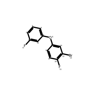 Fc1cccc(Oc2ccc(F)c(Br)c2)c1